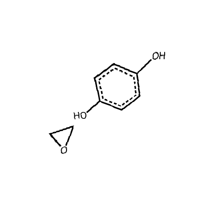 C1CO1.Oc1ccc(O)cc1